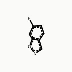 Fc1ccc2cnoc2c1